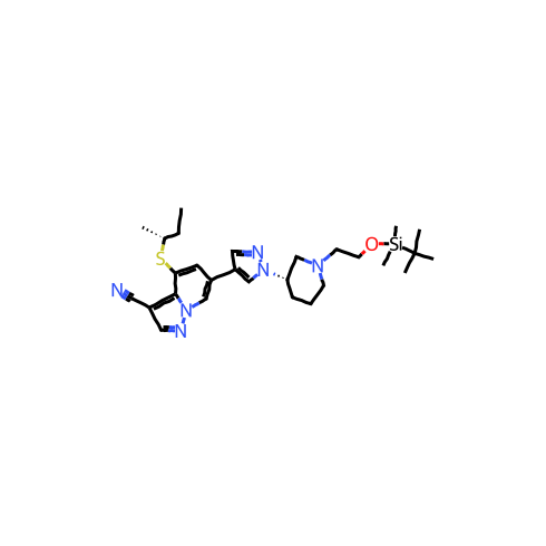 CC[C@@H](C)Sc1cc(-c2cnn([C@H]3CCCN(CCO[Si](C)(C)C(C)(C)C)C3)c2)cn2ncc(C#N)c12